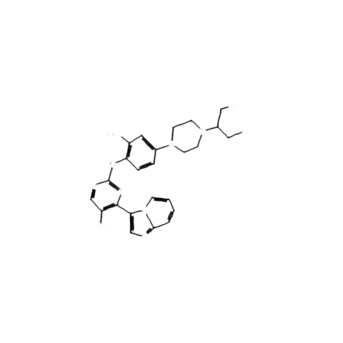 COc1cc(N2CCN(C(CO)CO)CC2)ccc1Nc1ncc(C)c(-c2cnc3ccccn23)n1